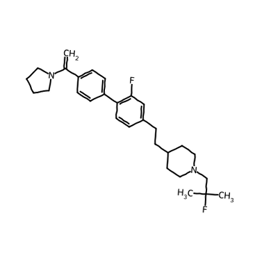 C=C(c1ccc(-c2ccc(CCC3CCN(CC(C)(C)F)CC3)cc2F)cc1)N1CCCC1